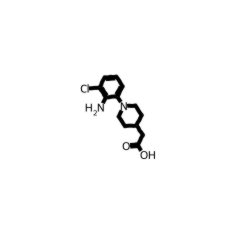 Nc1c(Cl)cccc1N1CCC(CC(=O)O)CC1